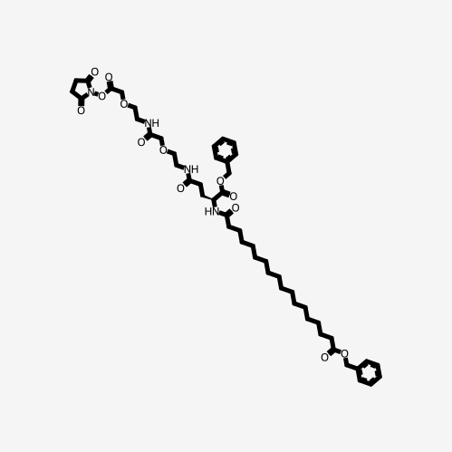 O=C(CC[C@H](NC(=O)CCCCCCCCCCCCCCCCC(=O)OCc1ccccc1)C(=O)OCc1ccccc1)NCCOCC(=O)NCCOCC(=O)ON1C(=O)CCC1=O